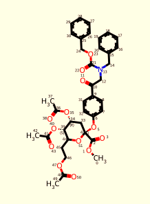 COC(=O)[C@@]1(Oc2ccc(C(=O)CN(Cc3ccccc3)C(=O)OCc3ccccc3)cc2)C[C@@H](OC(C)=O)[C@@H](OC(C)=O)C(CCOC(C)=O)O1